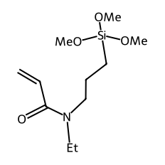 C=CC(=O)N(CC)CCC[Si](OC)(OC)OC